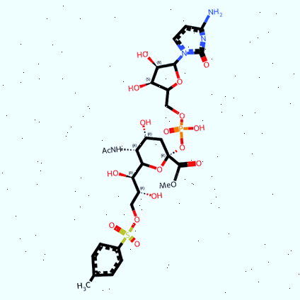 COC(=O)[C@]1(OP(=O)(O)OCC2OC(n3ccc(N)nc3=O)[C@H](O)[C@@H]2O)C[C@@H](O)[C@@H](NC(C)=O)C([C@H](O)[C@H](O)COS(=O)(=O)c2ccc(C)cc2)O1